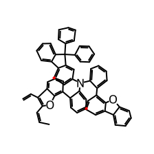 C=Cc1c(/C=C\C)oc2c(-c3ccccc3N(c3ccc4c(c3)C(c3ccccc3)(c3ccccc3)c3ccccc3-4)c3ccccc3-c3cccc4c3oc3ccccc34)cccc12